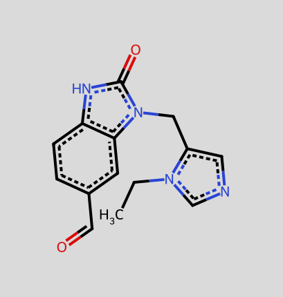 CCn1cncc1Cn1c(=O)[nH]c2ccc(C=O)cc21